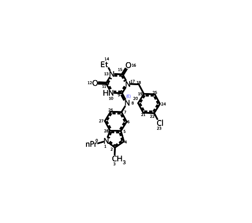 CCCn1c(C)cc2cc(/N=c3\[nH]c(=O)n(CC)c(=O)n3Cc3ccc(Cl)cc3)ccc21